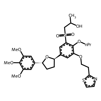 CCCOc1c(OCCc2nccs2)cc([C@H]2CC[C@H](c3cc(OC)c(OC)c(OC)c3)O2)cc1S(=O)(=O)CC(C)O